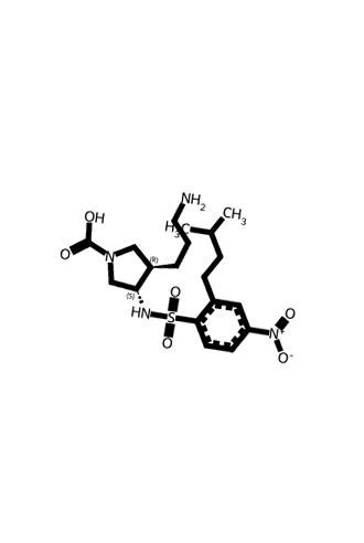 CC(C)CCc1cc([N+](=O)[O-])ccc1S(=O)(=O)N[C@@H]1CN(C(=O)O)C[C@H]1CCCN